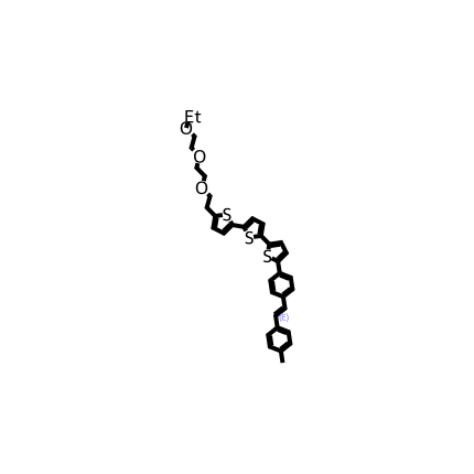 CCOCCOCCOCCc1ccc(-c2ccc(-c3ccc(-c4ccc(/C=C/c5ccc(C)cc5)cc4)s3)s2)s1